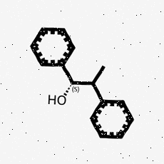 CC(c1ccccc1)[C@H](O)c1ccccc1